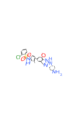 COc1cc(-c2ccc(NS(=O)(=O)c3ccccc3Cl)cc2C)cc2cnc(NC3CCC(N)CC3)nc12